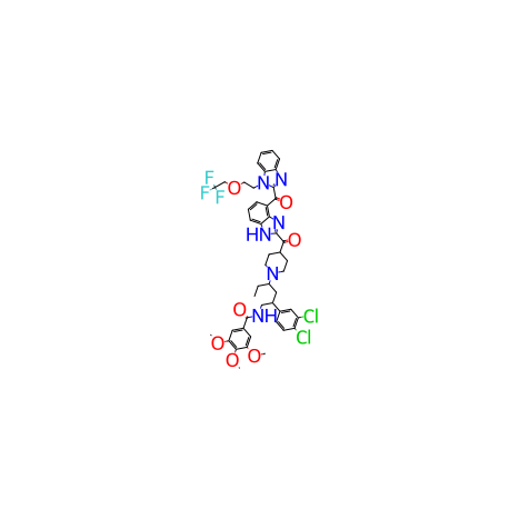 CCC(CC(CNC(=O)c1cc(OC)c(OC)c(OC)c1)c1ccc(Cl)c(Cl)c1)N1CCC(C(=O)c2nc3c(C(=O)c4nc5ccccc5n4CCOCC(F)(F)F)cccc3[nH]2)CC1